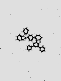 c1ccc(-c2cc(-c3ccccc3)c3oc4cccc(-c5ccc(-c6nc7ccccc7n6-c6ccccc6)cc5)c4c3c2)cc1